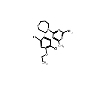 CCOc1cc(Cl)c([C@@H]2COCCCN2c2cc(C)nc(N)n2)cc1Cl